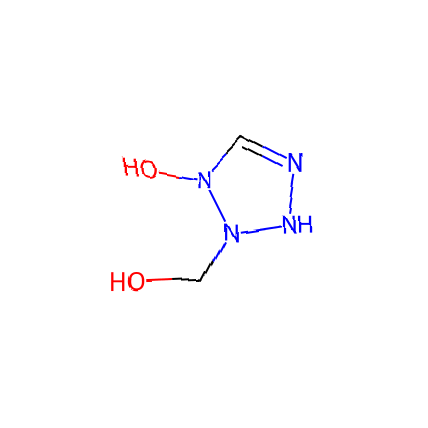 OCN1NN=CN1O